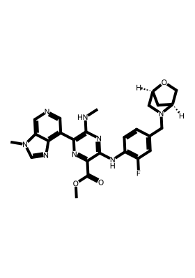 CNc1nc(Nc2ccc(CN3C[C@@H]4C[C@H]3CO4)cc2F)c(C(=O)OC)nc1-c1cncc2c1ncn2C